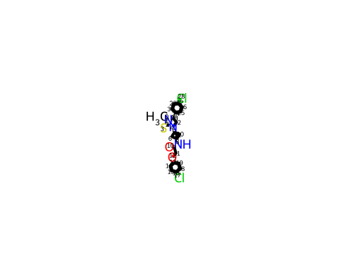 CN1C(=S)N(C23CC(NC(=O)COc4ccc(Cl)cc4)(C2)C3)C[C@H]1c1ccc(Cl)cc1